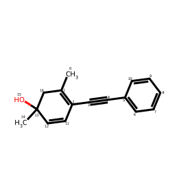 CC1=C(C#Cc2ccccc2)C=CC(C)(O)C1